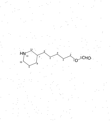 O=[C]OCCCCCC1CCCNC1